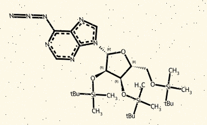 CC(C)(C)[Si](C)(C)OC[C@H]1O[C@@H](n2cnc3c(N=[N+]=[N-])ncnc32)[C@H](O[Si](C)(C)C(C)(C)C)[C@@H]1O[Si](C)(C)C(C)(C)C